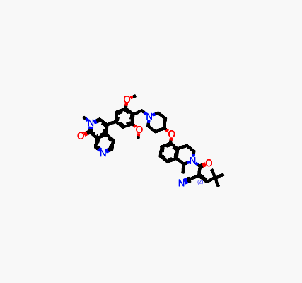 COc1cc(-c2cn(C)c(=O)c3cnccc23)cc(OC)c1CN1CCC(Oc2cccc3c2CCN(C(=O)/C(C#N)=C\C(C)(C)C)C3C)CC1